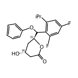 CC(C)c1cc(F)cc(F)c1C(Oc1ccccc1)[C@@H]1C[C@@H](O)CC(=O)O1